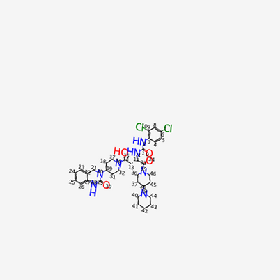 O=C(Nc1ccc(Cl)cc1Cl)N[C@@H](CC(O)N1CCC(N2Cc3ccccc3NC2=O)CC1)C(=O)N1CCC(N2CCCCC2)CC1